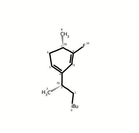 CCC(C)C[C@H](C)C1=CC[C@H](C)C(F)=C1